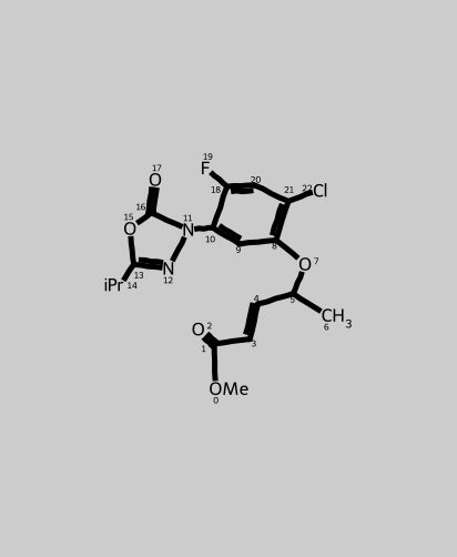 COC(=O)C=CC(C)Oc1cc(-n2nc(C(C)C)oc2=O)c(F)cc1Cl